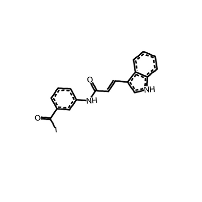 O=C(/C=C/c1c[nH]c2ccccc12)Nc1cccc(C(=O)I)c1